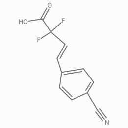 N#Cc1ccc(/C=C/C(F)(F)C(=O)O)cc1